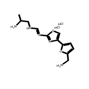 CC(N)CNC=Nc1nc(-c2ccc(CN)o2)cs1.Cl.Cl